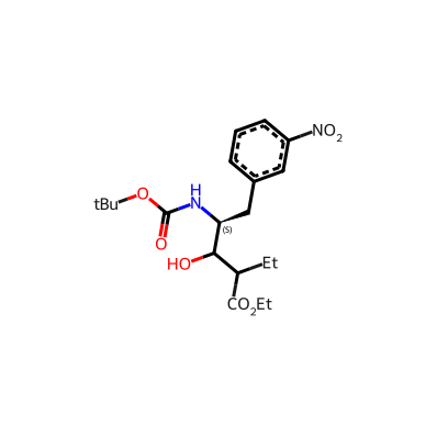 CCOC(=O)C(CC)C(O)[C@H](Cc1cccc([N+](=O)[O-])c1)NC(=O)OC(C)(C)C